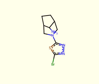 NC1C2CCC1CN(c1nnc(Br)s1)C2